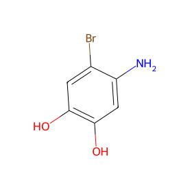 Nc1cc(O)c(O)cc1Br